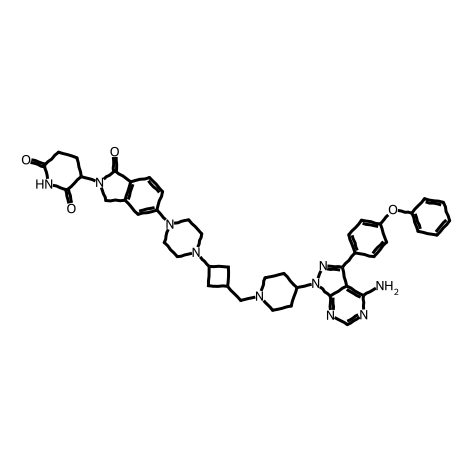 Nc1ncnc2c1c(-c1ccc(Oc3ccccc3)cc1)nn2C1CCN(CC2CC(N3CCN(c4ccc5c(c4)CN(C4CCC(=O)NC4=O)C5=O)CC3)C2)CC1